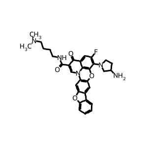 CN(C)CCCCNC(=O)c1cn2c3c(c(N4CCC(N)C4)c(F)cc3c1=O)Oc1cc3c(cc1-2)oc1ccccc13